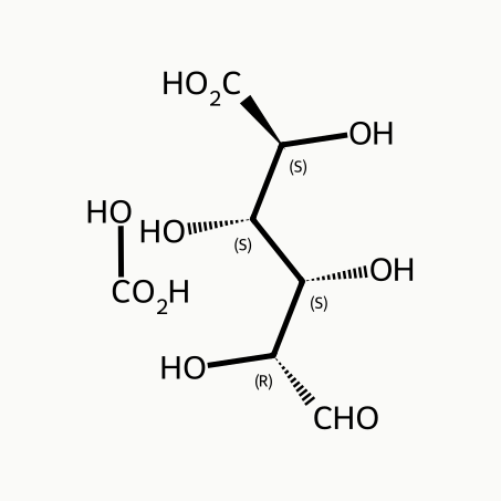 O=C(O)O.O=C[C@H](O)[C@@H](O)[C@H](O)[C@H](O)C(=O)O